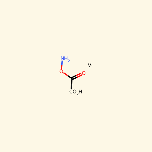 NOC(=O)C(=O)O.[V]